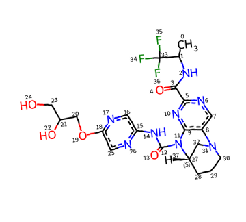 CC(NC(=O)c1ncc2c(n1)N(C(=O)Nc1cnc(OCC(O)CO)cn1)[C@H]1CCCN2C1)C(F)(F)F